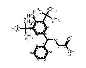 CC(C)(C)c1cc(C(SCC(=O)O)c2ccccc2)cc(C(C)(C)C)c1O